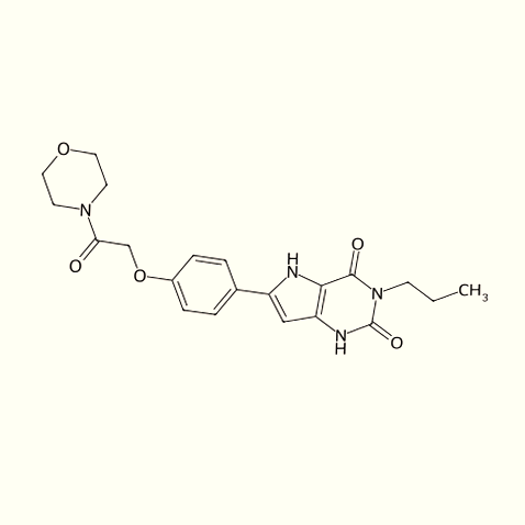 CCCn1c(=O)[nH]c2cc(-c3ccc(OCC(=O)N4CCOCC4)cc3)[nH]c2c1=O